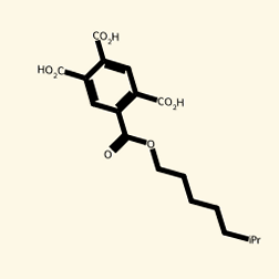 CC(C)CCCCCOC(=O)c1cc(C(=O)O)c(C(=O)O)cc1C(=O)O